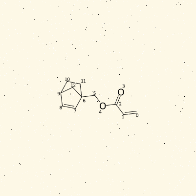 C=CC(=O)OCC12C=CC(CC1)C2